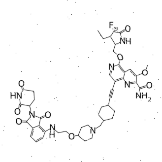 CCC1C(COc2ncc(C#CC3CCC(CN4CCC(OCCNc5cccc6c5C(=O)N(C5CCC(=O)NC5=O)C6=O)CC4)CC3)c3nc(C(N)=O)c(OC)cc23)NC(=O)[C@H]1F